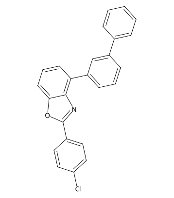 Clc1ccc(-c2nc3c(-c4cccc(-c5ccccc5)c4)cccc3o2)cc1